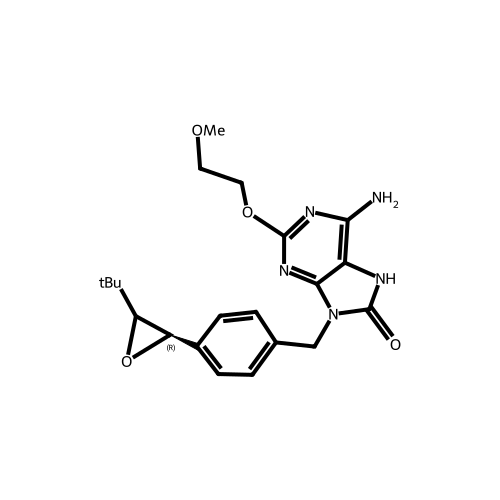 COCCOc1nc(N)c2[nH]c(=O)n(Cc3ccc([C@H]4OC4C(C)(C)C)cc3)c2n1